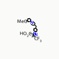 COc1cccc(N2CCC(Cc3ccc(N4N=C(C(F)(F)F)[C@@H](C)[C@@H]4CC(=O)O)cc3)CC2)c1